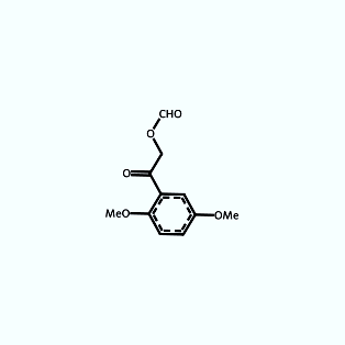 COc1ccc(OC)c(C(=O)COC=O)c1